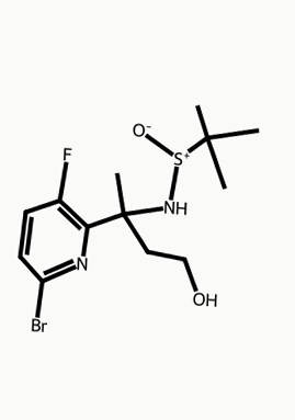 CC(CCO)(N[S+]([O-])C(C)(C)C)c1nc(Br)ccc1F